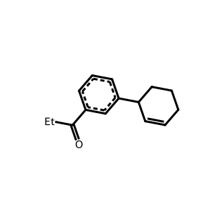 CCC(=O)c1cccc(C2C=CCCC2)c1